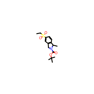 CCS(=O)(=O)c1ccc2c(c1)CN(C(=O)OC(C)(C)C)C2C